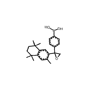 Cc1cc2c(cc1C1(c3ccc(B(O)O)cc3)CO1)C(C)(C)CCC2(C)C